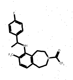 CC(Nc1c(C(F)(F)F)ccc2c1CCN(C(=O)C(F)(F)F)CC2)c1ccc(F)cc1